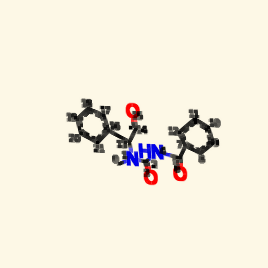 CN(C(=O)NC(=O)c1ccccc1)C([C]=O)c1ccccc1